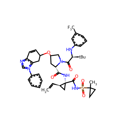 C=C[C@@H]1C[C@]1(NC(=O)[C@@H]1C[C@@H](OC2C=Cc3ncn(-c4ccccc4)c3C2)CN1C(=O)[C@@H](Nc1cccc(C(F)(F)F)c1)C(C)(C)C)C(=O)NS(=O)(=O)C1(C)CC1